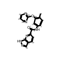 Cc1ccc(NC(=O)c2ccc3cn[nH]c3n2)cc1Oc1ncccn1